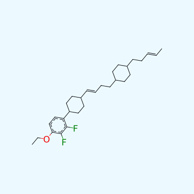 C/C=C/CCC1CCC(CC/C=C/C2CCC(c3ccc(OCC)c(F)c3F)CC2)CC1